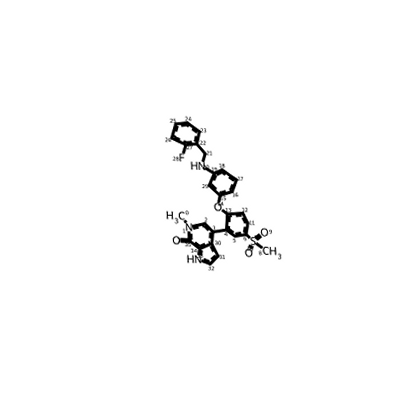 Cn1cc(-c2cc(S(C)(=O)=O)ccc2Oc2cccc(NCc3ccccc3F)c2)c2cc[nH]c2c1=O